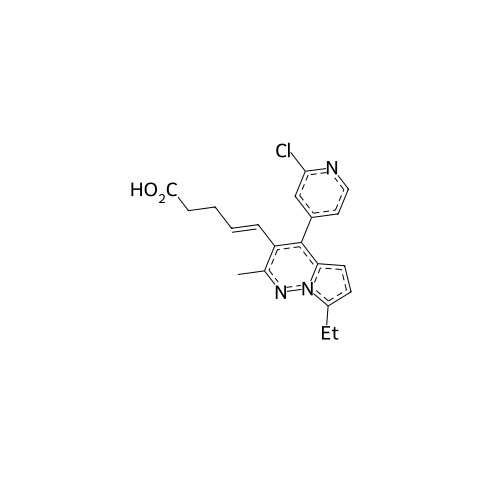 CCc1ccc2c(-c3ccnc(Cl)c3)c(/C=C/CCC(=O)O)c(C)nn12